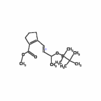 COC(=O)C1=C(/C=C/C(C)O[Si](C)(C)C(C)(C)C)CCC1